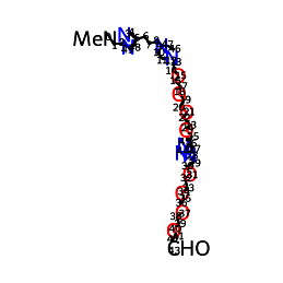 CNCc1ncc(CCCN2CCN(CCOCCOCCOCCOCc3cn(CCOCCOCCOCCOCCC=O)nn3)CC2)cn1